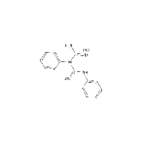 Cl.N=C(N)N(C(=N)Nc1ccccc1)c1ccccc1